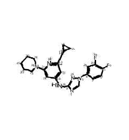 Fc1ccc(-n2cnc(Nc3cc(C4CC4)nc(N4CCCCC4)c3)n2)cc1F